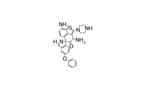 Cc1cc(Oc2ccccc2)ccc1C1(N)C(=O)C(N)c2c(N3CCNCC3)sc3c(N)ccc1c23